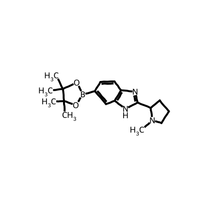 CN1CCCC1c1nc2ccc(B3OC(C)(C)C(C)(C)O3)cc2[nH]1